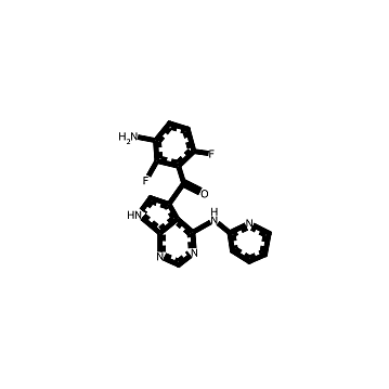 Nc1ccc(F)c(C(=O)c2c[nH]c3ncnc(Nc4ccccn4)c23)c1F